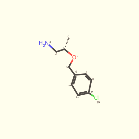 C[C@@H](CN)OCc1ccc(Cl)cc1